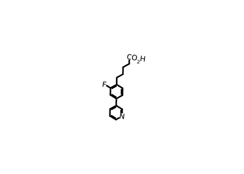 O=C(O)CCCCc1ccc(-c2cccnc2)cc1F